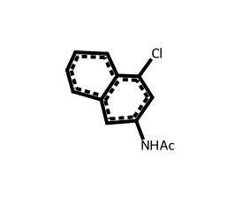 CC(=O)Nc1cc(Cl)c2ccccc2c1